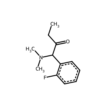 CCC(=O)C(c1ccccc1F)N(C)C